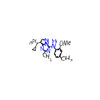 CCCC(c1cnn2c(Nc3ccc(C)cc3OC)nc(C)nc12)C1CC1